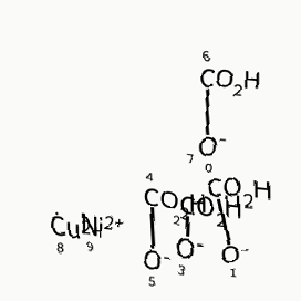 O=C([O-])O.O=C([O-])O.O=C([O-])O.O=C([O-])O.[Cu+2].[Ni+2]